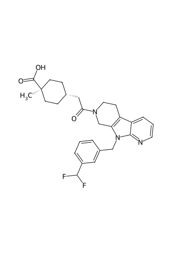 C[C@]1(C(=O)O)CC[C@H](CC(=O)N2CCc3c(n(Cc4cccc(C(F)F)c4)c4ncccc34)C2)CC1